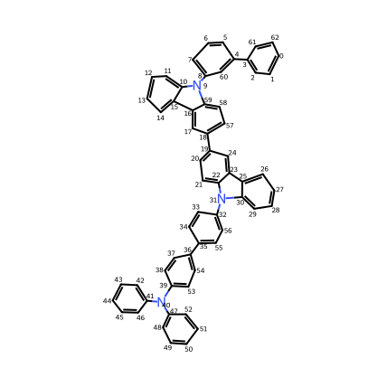 c1ccc(-c2cccc(-n3c4ccccc4c4cc(-c5ccc6c(c5)c5ccccc5n6-c5ccc(-c6ccc(N(c7ccccc7)c7ccccc7)cc6)cc5)ccc43)c2)cc1